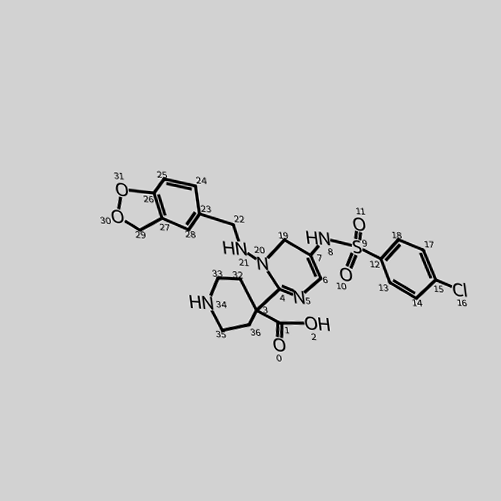 O=C(O)C1(C2=NC=C(NS(=O)(=O)c3ccc(Cl)cc3)CN2NCc2ccc3c(c2)COO3)CCNCC1